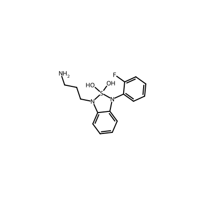 NCCCN1c2ccccc2N(c2ccccc2F)S1(O)O